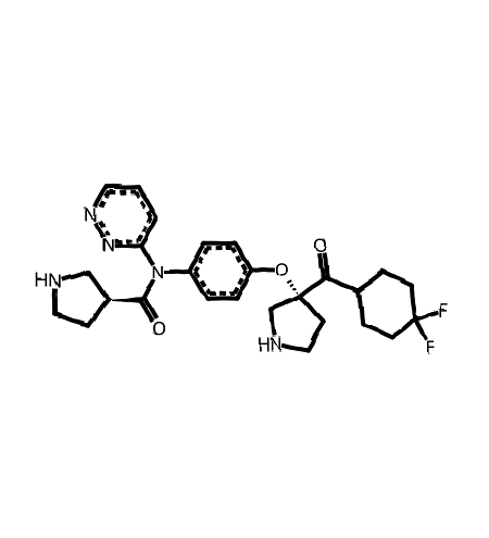 O=C([C@H]1CCNC1)N(c1ccc(O[C@]2(C(=O)C3CCC(F)(F)CC3)CCNC2)cc1)c1cccnn1